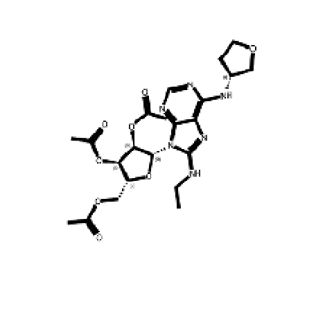 CCNc1nc2c(N[C@@H]3CCOC3)ncnc2n1[C@@H]1O[C@H](COC(C)=O)[C@@H](OC(C)=O)[C@H]1OC(C)=O